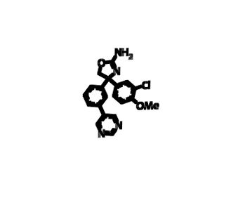 COc1ccc(C2(c3cccc(-c4cncnc4)c3)COC(N)=N2)cc1Cl